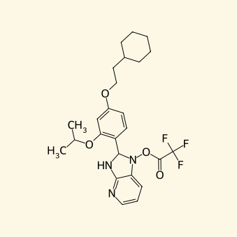 CC(C)Oc1cc(OCCC2CCCCC2)ccc1C1Nc2ncccc2N1OC(=O)C(F)(F)F